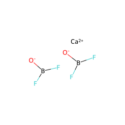 [Ca+2].[O-]B(F)F.[O-]B(F)F